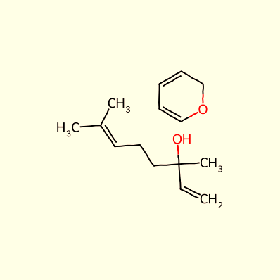 C1=CCOC=C1.C=CC(C)(O)CCC=C(C)C